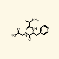 CC(N)C(=O)NC(Cc1ccccc1)C(=O)NCC(=O)O